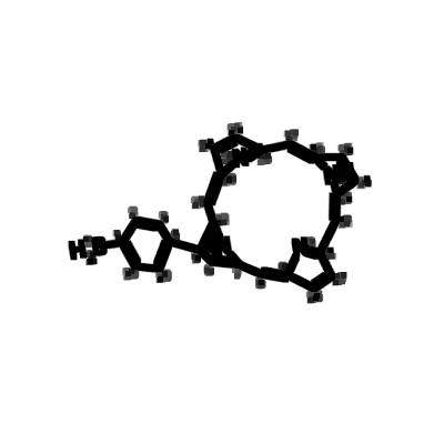 Bc1ccc(-c2cc3cc4nc(cc5ccc(cc6nc(cc2[nH]3)C=C6)[nH]5)C=C4)cc1